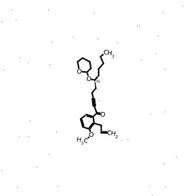 C=CCc1c(OC)cccc1C(=O)C#CCC[C@H](CCCCC)OC1CCCCO1